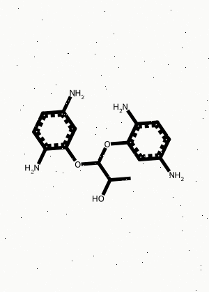 CC(O)C(Oc1cc(N)ccc1N)Oc1cc(N)ccc1N